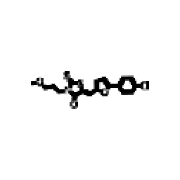 COCCCN1C(=O)C(=Cc2ccc(-c3ccc(Cl)cc3)o2)SC1=S